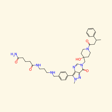 CC(CC(=O)N1CCC(O)(Cn2cnc3c(-c4ccc(CNCCCNC(=O)CCCC(N)=O)cc4)n(C)nc3c2=O)CC1)c1ccccc1